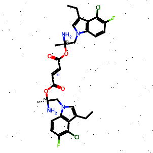 CCc1cn(C[C@@](C)(N)OC(=O)/C=C/C(=O)O[C@](C)(N)Cn2cc(CC)c3c(Cl)c(F)ccc32)c2ccc(F)c(Cl)c12